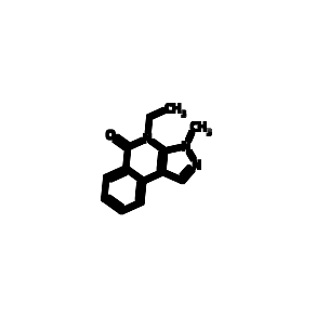 CCn1c(=O)c2ccccc2c2cnn(C)c21